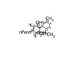 C=C(C)[C@@H]1CCC(C)=CC1c1c(O)c(I)c(CCCCC)c(I)c1O